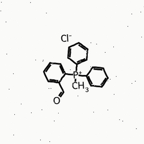 C[P+](c1ccccc1)(c1ccccc1)c1ccccc1C=O.[Cl-]